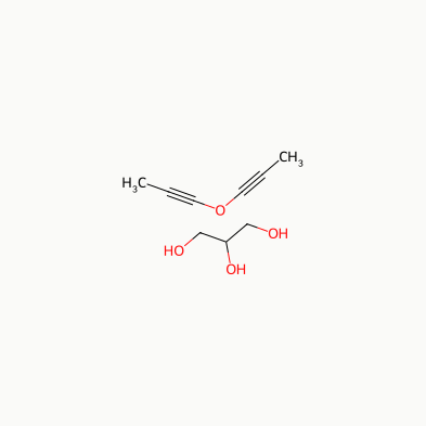 CC#COC#CC.OCC(O)CO